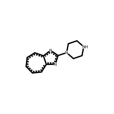 c1ccc2nc(N3CCNCC3)nc-2cc1